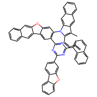 C=C/C=C\c1c(C)c2cc3ccccc3cc2n1-c1cc2oc3cc4ccccc4cc3c2cc1-c1nc(-c2ccc3c(c2)oc2ccccc23)nc(-c2cccc3ccccc23)n1